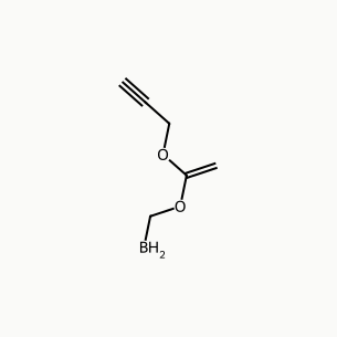 BCOC(=C)OCC#C